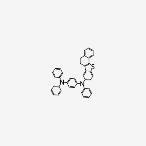 c1ccc(N(c2ccccc2)c2ccc(N(c3ccccc3)c3ccc4sc5c6ccccc6ccc5c4c3)cc2)cc1